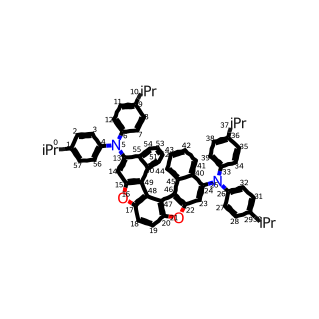 CC(C)c1ccc(N(c2ccc(C(C)C)cc2)c2cc3oc4ccc5oc6cc(N(c7ccc(C(C)C)cc7)c7ccc(C(C)C)cc7)c7ccccc7c6c5c4c3c3ccccc23)cc1